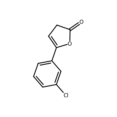 O=C1CC=C(c2cccc(Cl)c2)O1